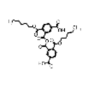 CCCCCOC(=O)c1ccc(C(=O)O)cc1C(=O)OC(=O)c1cc(C(=O)O)ccc1C(=O)OCCCCC